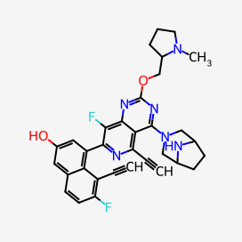 C#Cc1c(F)ccc2cc(O)cc(-c3nc(C#C)c4c(N5CC6CCC(C5)N6)nc(OCC5CCCN5C)nc4c3F)c12